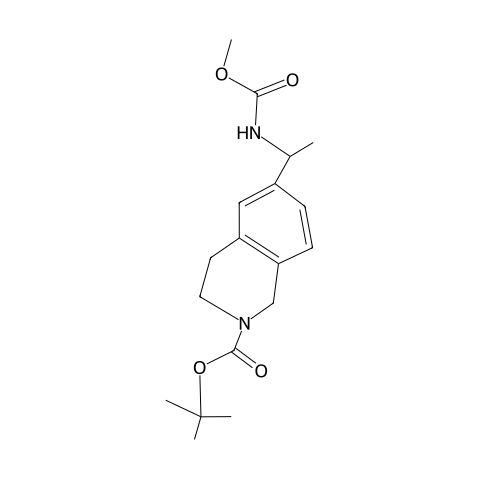 COC(=O)NC(C)c1ccc2c(c1)CCN(C(=O)OC(C)(C)C)C2